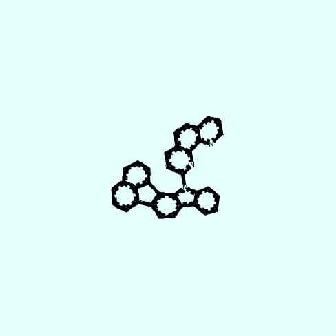 c1cc2c3c(cccc3c1)-c1c-2ccc2c3ccccc3n(-c3ccc4ccc5cccnc5c4n3)c12